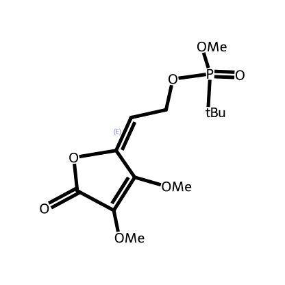 COC1=C(OC)/C(=C\COP(=O)(OC)C(C)(C)C)OC1=O